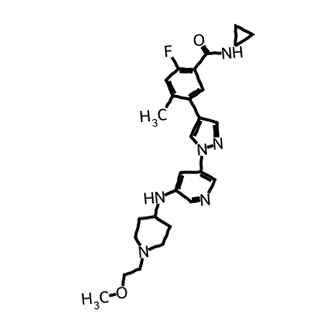 COCCN1CCC(Nc2cncc(-n3cc(-c4cc(C(=O)NC5CC5)c(F)cc4C)cn3)c2)CC1